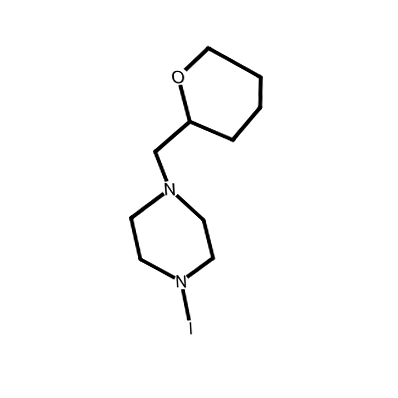 IN1CCN(CC2CCCCO2)CC1